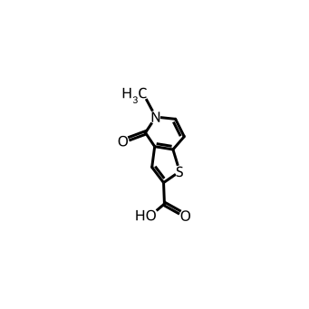 Cn1ccc2sc(C(=O)O)cc2c1=O